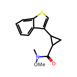 CON(C)C(=O)C1CC1c1csc2ccccc12